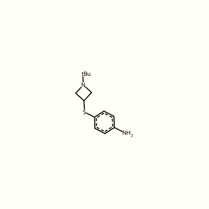 CC(C)(C)N1CC(Sc2ccc(N)cc2)C1